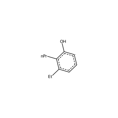 CCCc1c(O)[c]ccc1CC